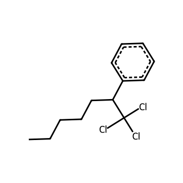 CCCCCC(c1ccccc1)C(Cl)(Cl)Cl